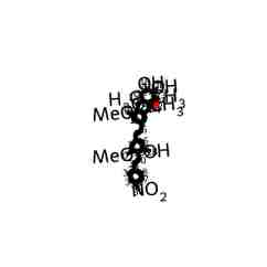 COc1cc(/C=C/c2cc3c(c(OC)c2)O[C@]2(C)C[C@@H](O)[C@@H](O)C(C)(C)[C@H]2C3)cc(O)c1/C=C/c1ccc([N+](=O)[O-])cc1